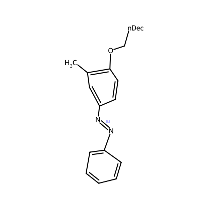 CCCCCCCCCCCOc1ccc(/N=N/c2ccccc2)cc1C